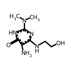 CN(C)c1nc(NCCO)c(N)c(=O)[nH]1